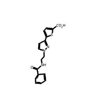 O=C(NCCn1ccc(-c2ccc(C(=O)O)s2)n1)c1ccccc1